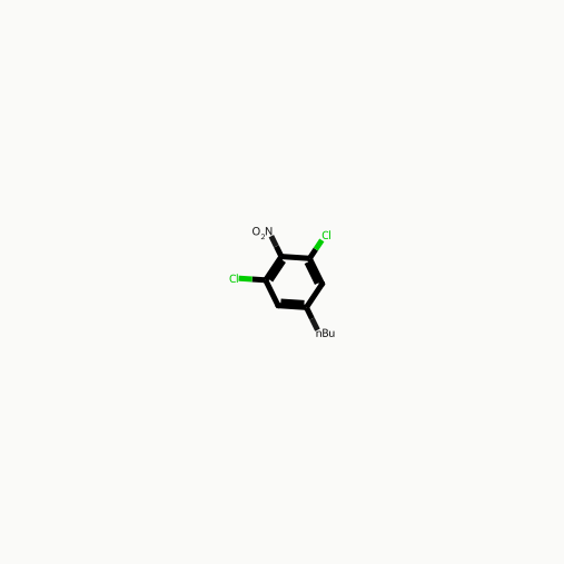 CCCCc1cc(Cl)c([N+](=O)[O-])c(Cl)c1